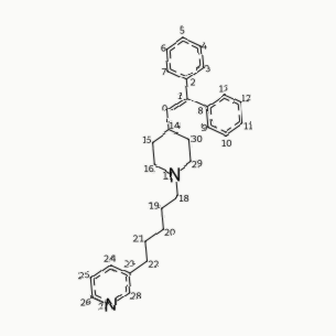 C(=C(c1ccccc1)c1ccccc1)C1CCN(CCCCCc2cccnc2)CC1